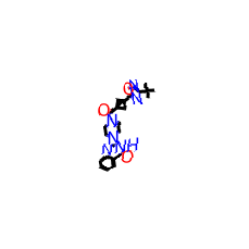 CC(C)(C)c1noc(C23CC(C(=O)N4CCN(c5nc6ccccc6c(=O)[nH]5)CC4)(C2)C3)n1